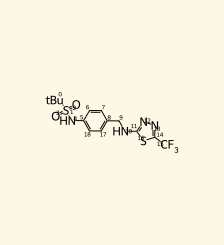 CC(C)(C)S(=O)(=O)Nc1ccc(CNc2nnc(C(F)(F)F)s2)cc1